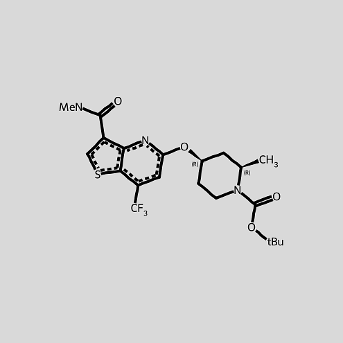 CNC(=O)c1csc2c(C(F)(F)F)cc(O[C@@H]3CCN(C(=O)OC(C)(C)C)[C@H](C)C3)nc12